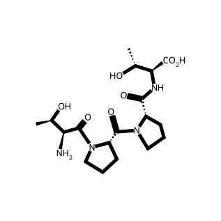 C[C@@H](O)[C@H](N)C(=O)N1CCC[C@H]1C(=O)N1CCC[C@H]1C(=O)N[C@H](C(=O)O)[C@@H](C)O